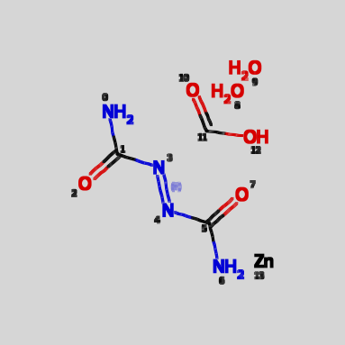 NC(=O)/N=N/C(N)=O.O.O.O=CO.[Zn]